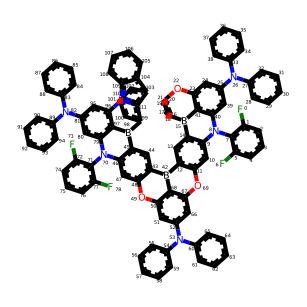 Fc1cccc(F)c1N1c2cc3c(cc2B2c4ccccc4Oc4cc(N(c5ccccc5)c5ccccc5)cc1c42)B1c2cc4c(cc2Oc2cc(N(c5ccccc5)c5ccccc5)cc(c21)O3)N(c1c(F)cccc1F)c1cc(N(c2ccccc2)c2ccccc2)cc2c1B4c1cccc3c4ccccc4n-2c13